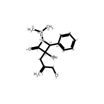 C=C(CCl)CC1(C(C)(C)C)C(=O)N([SiH](C)C)C1c1ccccc1